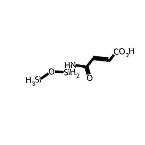 O=C(O)C=CC(=O)N[SiH2]O[SiH3]